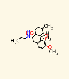 C=CCN[C@H]1Cc2ccc(OC)c3c2C2(C)[C@H](O3)C(=C)CC[C@]12O